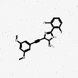 COc1cc(C#CC2N=C(c3c(F)cccc3Cl)NC2N)cc(OC)c1